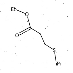 CCOC(=O)CCSC(C)C